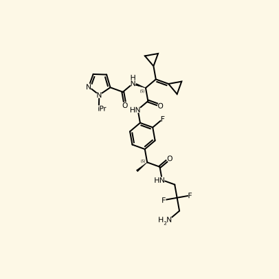 CC(C)n1nccc1C(=O)N[C@H](C(=O)Nc1ccc([C@H](C)C(=O)NCC(F)(F)CN)cc1F)C(=C1CC1)C1CC1